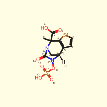 CC1(C(=O)O)c2sccc2[C@H]2CN1C(=O)N2OS(=O)(=O)O